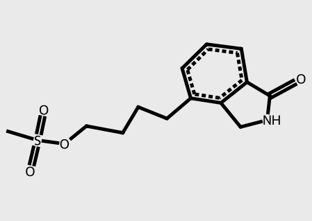 CS(=O)(=O)OCCCCc1cccc2c1CNC2=O